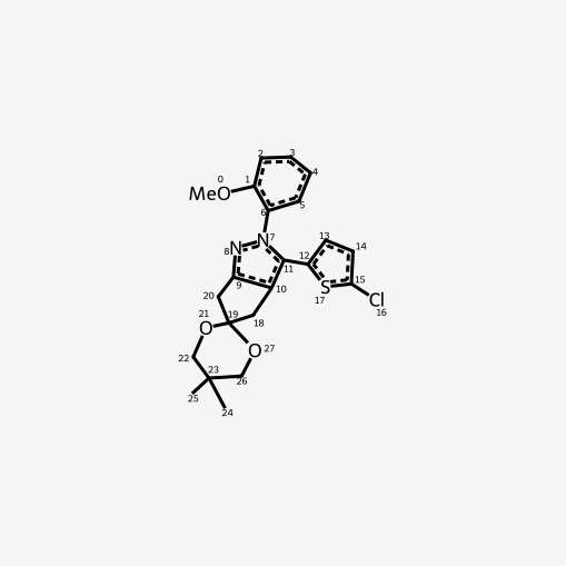 COc1ccccc1-n1nc2c(c1-c1ccc(Cl)s1)CC1(C2)OCC(C)(C)CO1